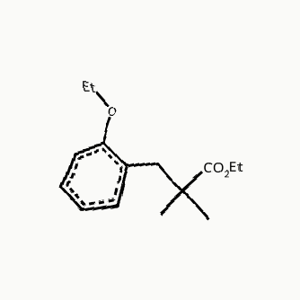 CCOC(=O)C(C)(C)Cc1ccccc1OCC